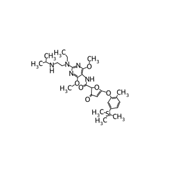 CCN(CCNC(C)C)c1nc(OC)c(NC(=O)C2OC(Oc3cc([Si](C)(C)C)ccc3C)=CC2=O)c(OC)n1